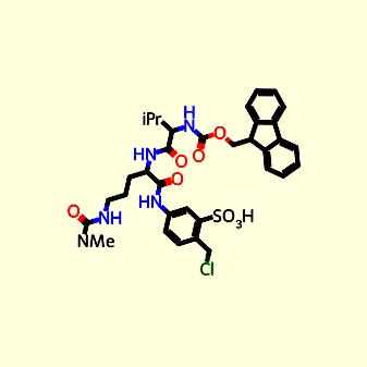 CNC(=O)NCCCC(NC(=O)C(NC(=O)OCC1c2ccccc2-c2ccccc21)C(C)C)C(=O)Nc1ccc(CCl)c(S(=O)(=O)O)c1